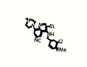 [C-]#[N+]c1cc(N2CCN(C)CC2)c2ncc(CC)c(NCc3ccc(OC)c(Cl)c3)c2c1